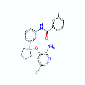 Cc1cccc(C(=O)Nc2cccc(C3(Oc4cc(Cl)cnc4N)CCCC3)c2)c1